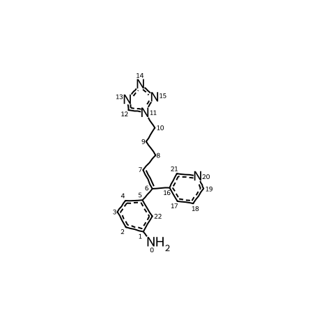 Nc1cccc(/C(=C/CCCn2cnnn2)c2cccnc2)c1